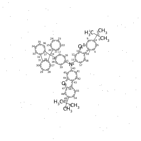 CC(C)(C)c1ccc2c(c1)oc1cc(N(c3ccc(C4(c5ccccc5)c5ccccc5-c5ccccc54)cc3)c3ccc4c(c3)oc3cc(C(C)(C)C)ccc34)ccc12